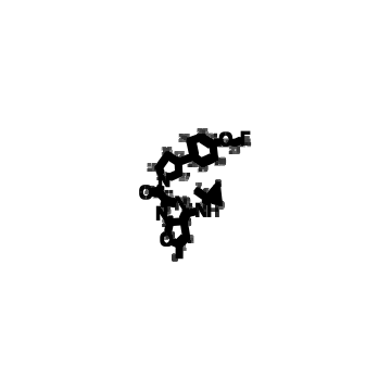 Cc1cc2c(NC3(C)CC3)nc(C(=O)N3CCC(c4ccc(OCF)cc4)C3)nc2o1